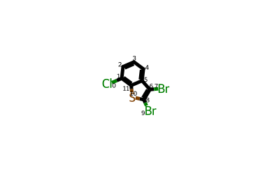 Clc1cccc2c(Br)c(Br)sc12